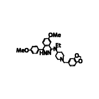 CCN(C(=N)c1cc(OC)ccc1C(=N)c1ccc(OC)cc1)C1CCN(Cc2ccc3c(c2)OCO3)CC1